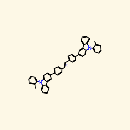 Cc1ccccc1-n1c2ccccc2c2cc(-c3ccc(/C=C/c4ccc(-c5ccc6c(c5)c5ccccc5n6-c5ccccc5C)cc4)cc3)ccc21